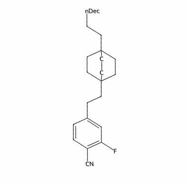 CCCCCCCCCCCCC12CCC(CCc3ccc(C#N)c(F)c3)(CC1)CC2